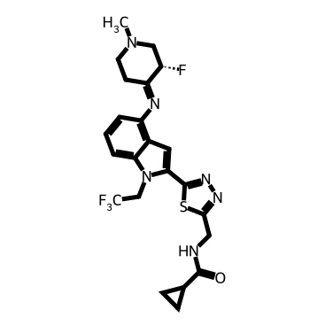 CN1CC/C(=N\c2cccc3c2cc(-c2nnc(CNC(=O)C4CC4)s2)n3CC(F)(F)F)[C@@H](F)C1